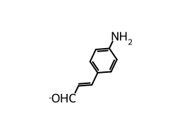 Nc1ccc(C=C[C]=O)cc1